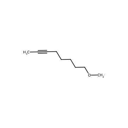 [CH2]OCCCCCC#CC